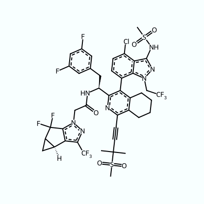 CC(C)(C#Cc1nc([C@H](Cc2cc(F)cc(F)c2)NC(=O)Cn2nc(C(F)(F)F)c3c2C(F)(F)C2C[C@H]32)c(-c2ccc(Cl)c3c(NS(C)(=O)=O)nn(CC(F)(F)F)c23)c2c1CCCC2)S(C)(=O)=O